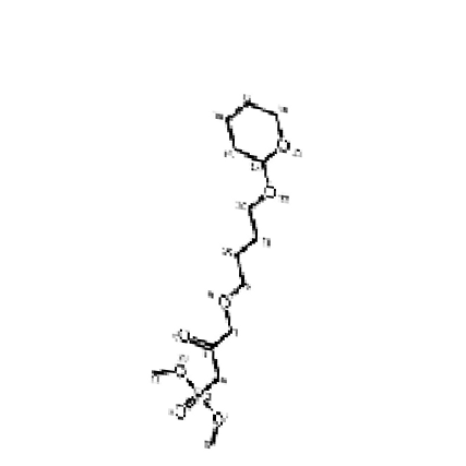 COP(=O)(CC(=O)COCCCCOC1CCCCO1)OC